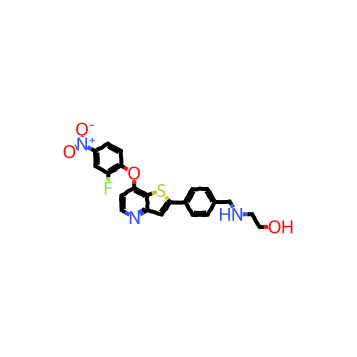 O=[N+]([O-])c1ccc(Oc2ccnc3cc(-c4ccc(CNCCO)cc4)sc23)c(F)c1